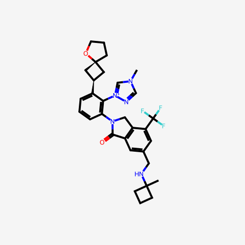 Cn1cn[n+](-c2c(N3Cc4c(cc(CNC5(C)CCC5)cc4C(F)(F)F)C3=O)cccc2[C@H]2C[C@@]3(CCCO3)C2)c1